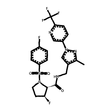 Cc1nn(-c2ccc(C(F)(F)F)nc2)cc1CNC(=O)[C@@H]1[C@@H](F)CCN1S(=O)(=O)c1ccc(F)cc1